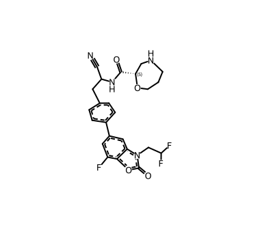 N#CC(Cc1ccc(-c2cc(F)c3oc(=O)n(CC(F)F)c3c2)cc1)NC(=O)[C@@H]1CNCCCO1